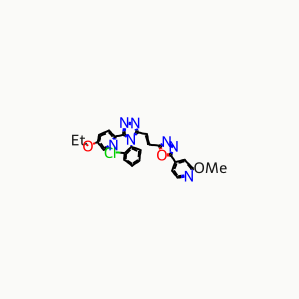 CCOc1ccc(-c2nnc(C=Cc3nnc(-c4ccnc(OC)c4)o3)n2-c2ccccc2Cl)nc1